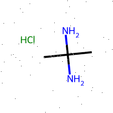 CC(C)(N)N.Cl